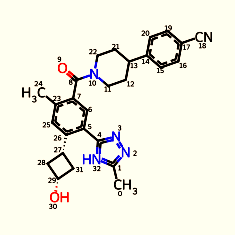 Cc1nnc(-c2cc(C(=O)N3CCC(c4ccc(C#N)cc4)CC3)c(C)cc2[C@H]2C[C@@H](O)C2)[nH]1